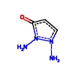 Nn1ccc(=O)n1N